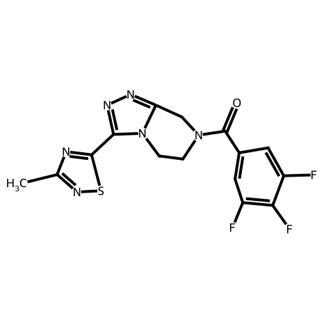 Cc1nsc(-c2nnc3n2CCN(C(=O)c2cc(F)c(F)c(F)c2)C3)n1